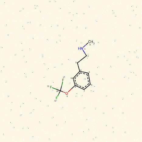 CNCCc1cccc(OC(F)(F)F)c1